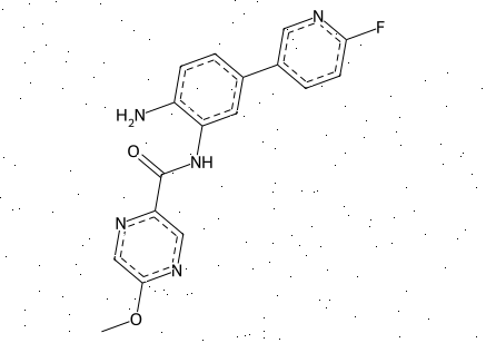 COc1cnc(C(=O)Nc2cc(-c3ccc(F)nc3)ccc2N)cn1